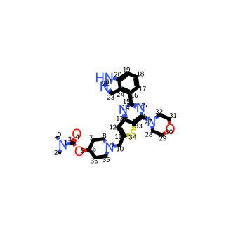 CN(C)C(=O)OC1CCN(Cc2cc3nc(-c4cccc5[nH]ncc45)nc(N4CCOCC4)c3s2)CC1